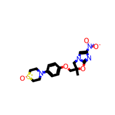 CC1(COc2ccc(N3CC[S+]([O-])CC3)cc2)Cn2cc([N+](=O)[O-])nc2O1